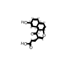 O=C(O)C=Cc1coc2ccc3ccc(O)cc3c2c1=O